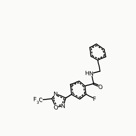 O=C(NCc1ccccc1)c1ccc(-c2noc(C(F)(F)F)n2)cc1F